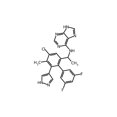 Cc1c(Cl)cc(C(C)Nc2ncnc3[nH]cnc23)c(-c2cc(F)cc(F)c2)c1-c1cn[nH]c1